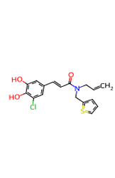 C=CCN(Cc1cccs1)C(=O)/C=C/c1cc(O)c(O)c(Cl)c1